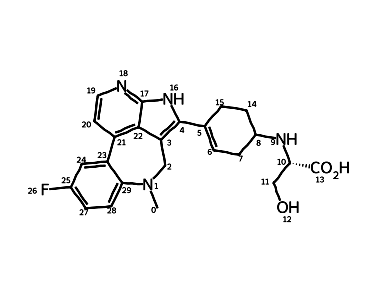 CN1Cc2c(C3=CCC(N[C@@H](CO)C(=O)O)CC3)[nH]c3nccc(c23)-c2cc(F)ccc21